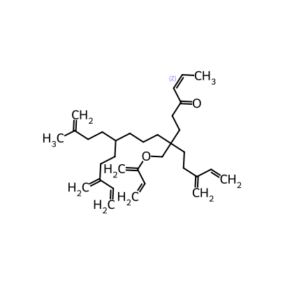 C=CC(=C)CCC(CCCC(CCC(=C)C=C)(CCC(=O)/C=C\C)COC(=C)C=C)CCC(=C)C